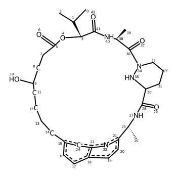 CC(C)[C@@H]1OC(=O)CCC(O)CCCCc2ccc3ccc(nc3c2)[C@@H](C)NC(=O)C2CCCN(N2)C(=O)[C@H](C)NC1=O